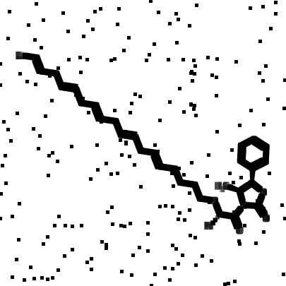 CCC=CCC=CCC=CCC=CCC=CCCCCO[C@@H](CC)C(=O)N1C(=O)O[C@H](c2ccccc2)[C@@H]1C